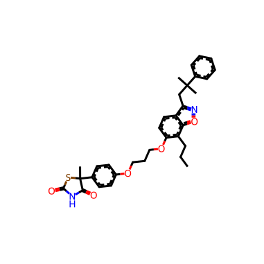 CCCc1c(OCCCOc2ccc(C3(C)SC(=O)NC3=O)cc2)ccc2c(CC(C)(C)c3ccccc3)noc12